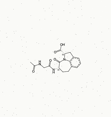 CC(=O)NCC(=O)N[C@H]1CCc2cccc3c2N(C1=O)[C@H](C(=O)O)C3